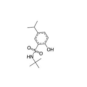 CC(C)c1ccc(O)c(S(=O)(=O)NC(C)(C)C)c1